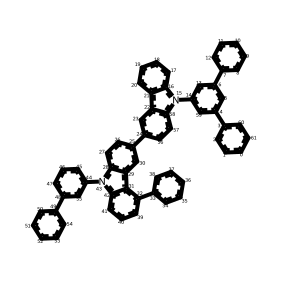 c1ccc(-c2cc(-c3ccccc3)cc(-n3c4ccccc4c4cc(-c5ccc6c(c5)c5c(-c7ccccc7)cccc5n6-c5cccc(-c6ccccc6)c5)ccc43)c2)cc1